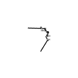 CCCCCCCCCCCCCCCCCC(=O)NCCC[N+](C)(C)CC(O)COc1cccc(OCC(O)C[N+](C)(C)CCCNC(C)CCCCCCCCCCCCCCCCC)c1